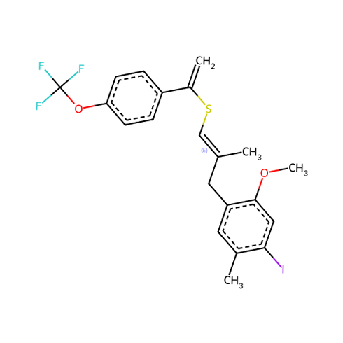 C=C(S/C=C(\C)Cc1cc(C)c(I)cc1OC)c1ccc(OC(F)(F)F)cc1